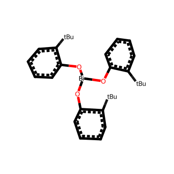 CC(C)(C)c1ccccc1[O][Bi]([O]c1ccccc1C(C)(C)C)[O]c1ccccc1C(C)(C)C